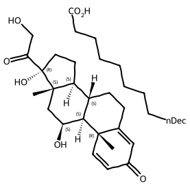 CCCCCCCCCCCCCCCCCC(=O)O.C[C@]12C=CC(=O)C=C1CC[C@@H]1[C@@H]2[C@@H](O)C[C@@]2(C)[C@H]1CC[C@]2(O)C(=O)CO